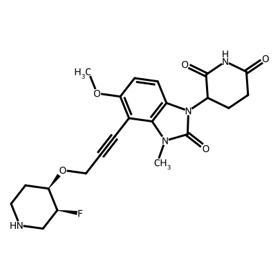 COc1ccc2c(c1C#CCO[C@@H]1CCNC[C@@H]1F)n(C)c(=O)n2C1CCC(=O)NC1=O